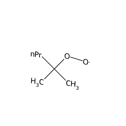 CCCC(C)(C)O[O]